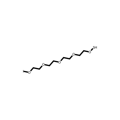 SOCCOCCOCCOCCOI